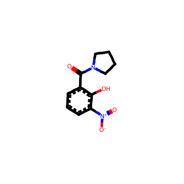 O=C(c1cccc([N+](=O)[O-])c1O)N1CCCC1